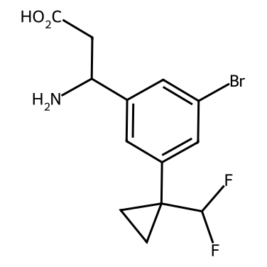 NC(CC(=O)O)c1cc(Br)cc(C2(C(F)F)CC2)c1